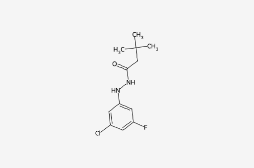 CC(C)(C)CC(=O)NNc1cc(F)cc(Cl)c1